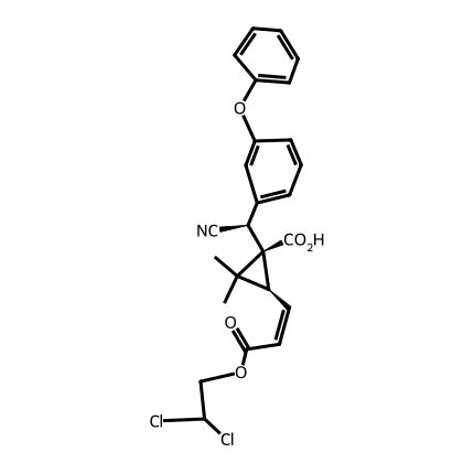 CC1(C)[C@H](/C=C\C(=O)OCC(Cl)Cl)[C@@]1(C(=O)O)[C@@H](C#N)c1cccc(Oc2ccccc2)c1